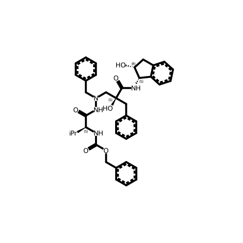 CC(C)[C@H](NC(=O)OCc1ccccc1)C(=O)NN(Cc1ccccc1)C[C@@](O)(Cc1ccccc1)C(=O)N[C@H]1c2ccccc2C[C@H]1O